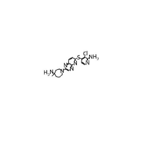 CC1(N)CCCN(c2cnc3nc(Sc4ccnc(N)c4Cl)ccc3n2)CC1